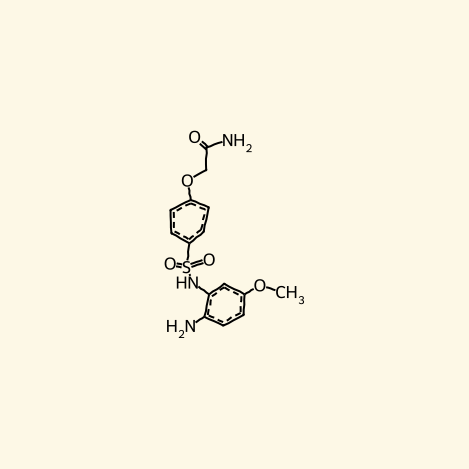 COc1ccc(N)c(NS(=O)(=O)c2ccc(OCC(N)=O)cc2)c1